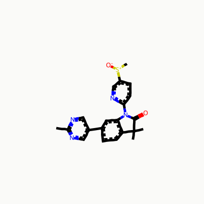 Cc1ncc(-c2ccc3c(c2)N(c2ccc([S+](C)[O-])cn2)C(=O)C3(C)C)cn1